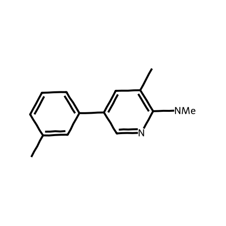 CNc1ncc(-c2cccc(C)c2)cc1C